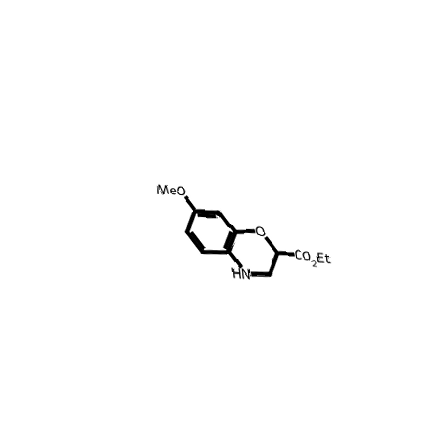 CCOC(=O)C1CNc2ccc(OC)cc2O1